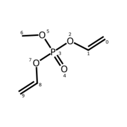 C=COP(=O)(OC)OC=C